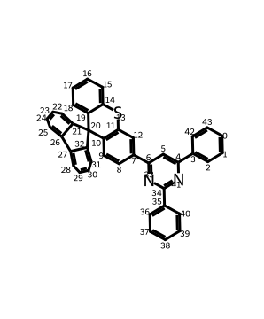 c1ccc(-c2cc(-c3ccc4c(c3)Sc3ccccc3C43c4ccccc4-c4ccccc43)nc(-c3ccccc3)n2)cc1